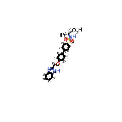 CC(C)[C@@H](NS(=O)(=O)c1ccc(-c2ccc(OCc3nc4ccccc4[nH]3)cc2)cc1)C(=O)O